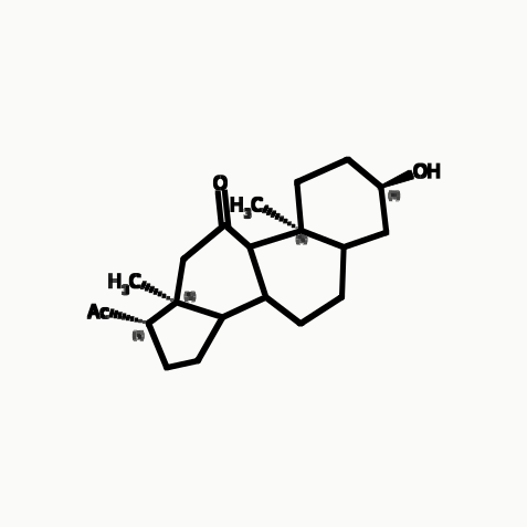 CC(=O)[C@H]1CCC2C3CCC4C[C@H](O)CC[C@]4(C)C3C(=O)C[C@@]21C